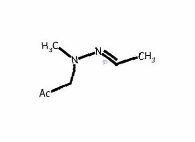 C/C=N/N(C)CC(C)=O